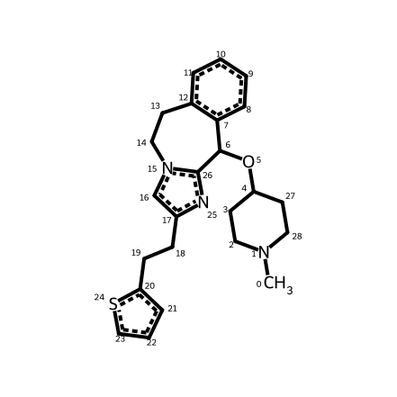 CN1CCC(OC2c3ccccc3CCn3cc(CCc4cccs4)nc32)CC1